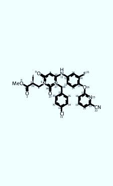 COC(=O)[C@@H](C)Cn1c(=O)cc(Nc2ccc(Oc3cccc(C#N)n3)c(F)c2)n(Cc2ccc(Cl)cc2)c1=O